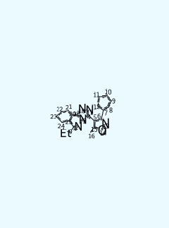 CCc1nn2c(-c3c(-c4ccccc4)noc3C)nnc2c2ccccc12